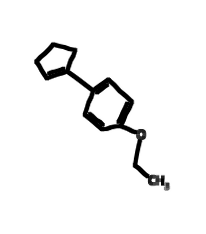 CCOc1ccc(C2=CCCC2)cc1